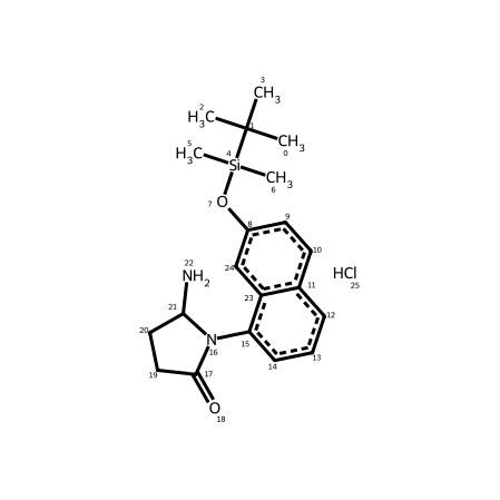 CC(C)(C)[Si](C)(C)Oc1ccc2cccc(N3C(=O)CCC3N)c2c1.Cl